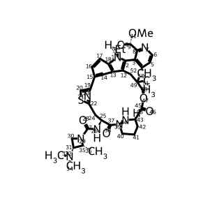 CCn1c(-c2cccnc2[C@H](C)OC)c2c3cc(ccc31)-c1csc(n1)C[C@H](NC(=O)N1C[C@@H](N(C)C)[C@H]1C)C(=O)N1CCC[C@H](N1)C(=O)OCC(C)(C)C2